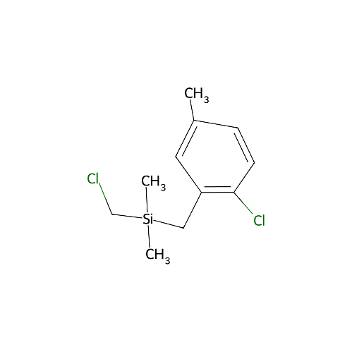 Cc1ccc(Cl)c(C[Si](C)(C)CCl)c1